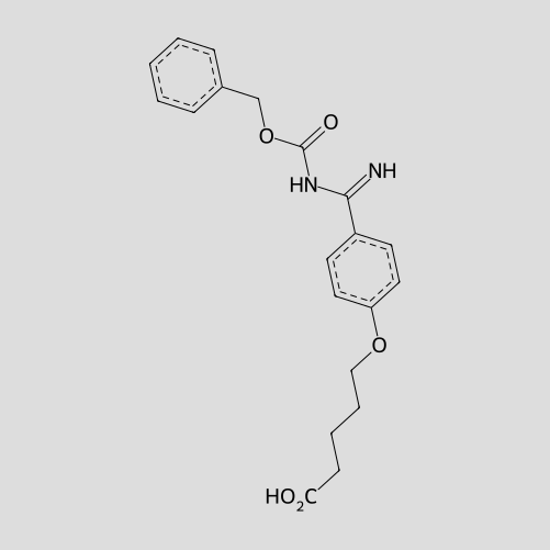 N=C(NC(=O)OCc1ccccc1)c1ccc(OCCCCC(=O)O)cc1